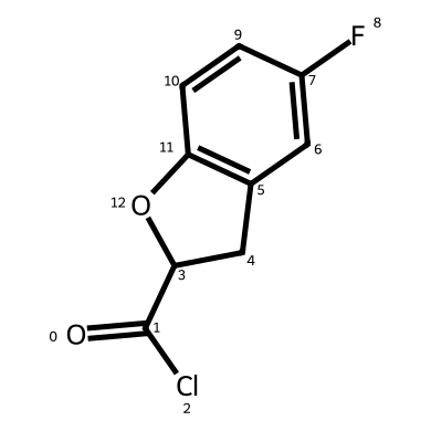 O=C(Cl)C1Cc2cc(F)ccc2O1